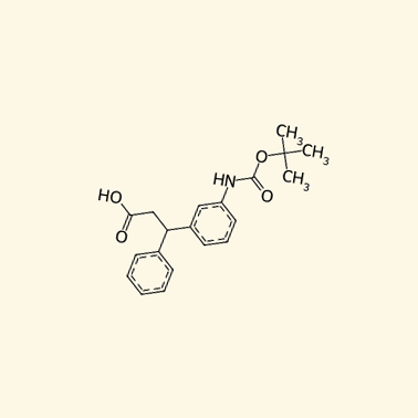 CC(C)(C)OC(=O)Nc1cccc(C(CC(=O)O)c2ccccc2)c1